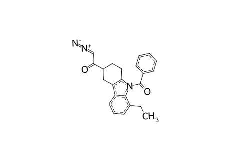 CCc1cccc2c3c(n(C(=O)c4ccccc4)c12)CCC(C(=O)C=[N+]=[N-])C3